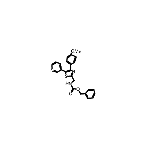 COc1ccc(-c2nc(CNC(=O)OCc3ccccc3)sc2-c2cccnc2)cc1